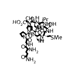 CSCC[C@H](NC(=O)[C@H](CC(C)C)NC(=O)[C@@H]1CCCN1C(=O)[C@@H]1CCCN1C(=O)CNC(=O)[C@@H](N)CCC(N)=O)C(=O)N[C@@H](CO)C(=O)N[C@H](C(=O)N[C@@H](CC(C)C)C(=O)N[C@@H](C)C(=O)O)C(C)C